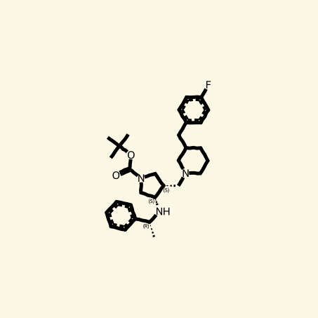 C[C@@H](N[C@@H]1CN(C(=O)OC(C)(C)C)C[C@@H]1CN1CCCC(Cc2ccc(F)cc2)C1)c1ccccc1